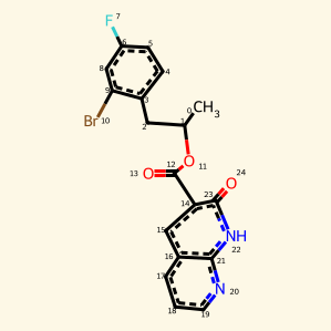 CC(Cc1ccc(F)cc1Br)OC(=O)c1cc2cccnc2[nH]c1=O